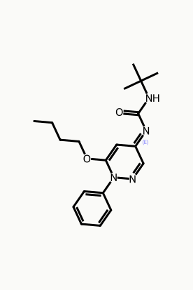 CCCCOc1c/c(=N\C(=O)NC(C)(C)C)cnn1-c1ccccc1